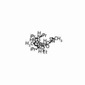 CCSC[C@H](NC(=O)OCc1nc(C)cs1)C(=O)N[C@H](CC(C)C)[C@@H](O)C[C@@H](C)C(=O)N[C@@H](C(=O)NCC(C)C)C(C)C